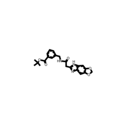 CC(C)(C)OC(=O)c1cccc(CNC(=O)Cc2nc3cc4c(cc3[nH]2)OCO4)c1